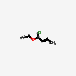 CC=C[SiH](Cl)OCCCC